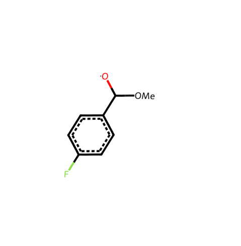 COC([O])c1ccc(F)cc1